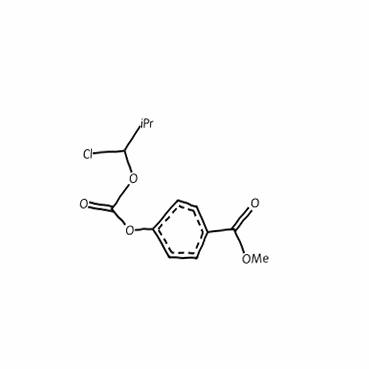 COC(=O)c1ccc(OC(=O)OC(Cl)C(C)C)cc1